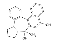 CC1(O)c2cc(O)c3ccccc3c2-c2ccccc2C2CCCC21